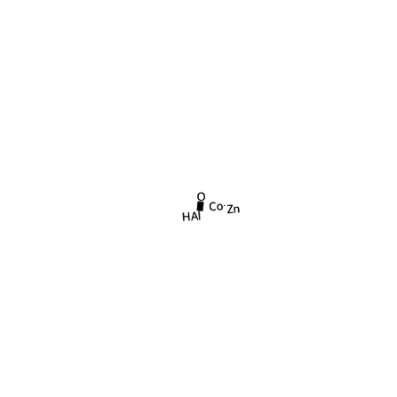 [Co].[O]=[AlH].[Zn]